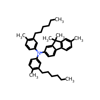 CCCCCCc1cc(N(c2ccc(C)c(CCCCCC)c2)c2ccc3c(c2)C(C)(C)c2cc(C)ccc2-3)ccc1C